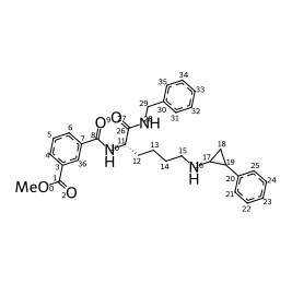 COC(=O)c1cccc(C(=O)N[C@@H](CCCCNC2CC2c2ccccc2)C(=O)NCc2ccccc2)c1